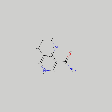 NC(=O)c1cncc2c1NCCC2